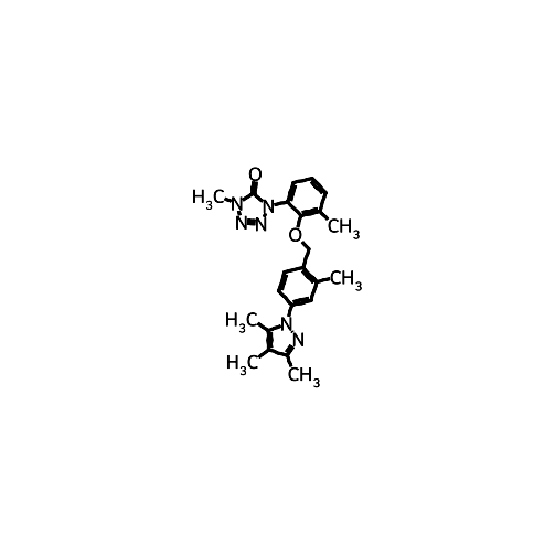 Cc1cc(-n2nc(C)c(C)c2C)ccc1COc1c(C)cccc1-n1nnn(C)c1=O